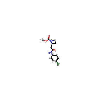 CC(C)(C)OC(=O)N1CCC1CC(=O)Nc1ccc(Br)cc1